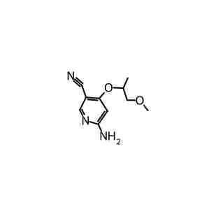 COCC(C)Oc1cc(N)ncc1C#N